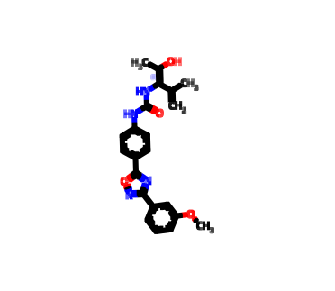 C=C(C)/C(NC(=O)Nc1ccc(-c2nc(-c3cccc(OC)c3)no2)cc1)=C(/C)O